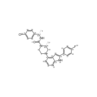 C[C@H](NC(=O)N1CCN(c2ncnc3[nH]c(-c4ccc(F)cc4)cc23)C[C@H]1C)c1ccc(Cl)cc1